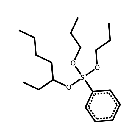 CCCCC(CC)O[Si](OCCC)(OCCC)c1ccccc1